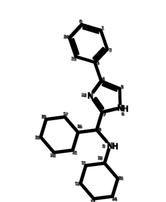 c1ccc(-c2c[nH]c(C(NC3CCCCC3)C3CCCCC3)n2)cc1